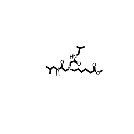 COC(=O)CCCCCN(CC(=O)NCC(C)C)CC(=O)NCC(C)C